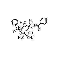 CC(C)C(C)(CCC(C)(OOC(=O)c1ccccc1)C(C)C)OOC(=O)c1ccccc1